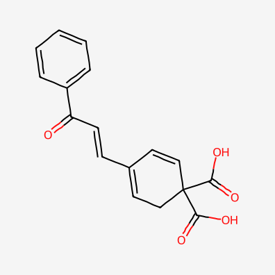 O=C(C=CC1=CCC(C(=O)O)(C(=O)O)C=C1)c1ccccc1